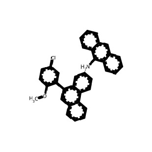 COc1ccc(Cl)cc1-c1cc2ccccc2c2ccccc12.Nc1c2ccccc2cc2ccccc12